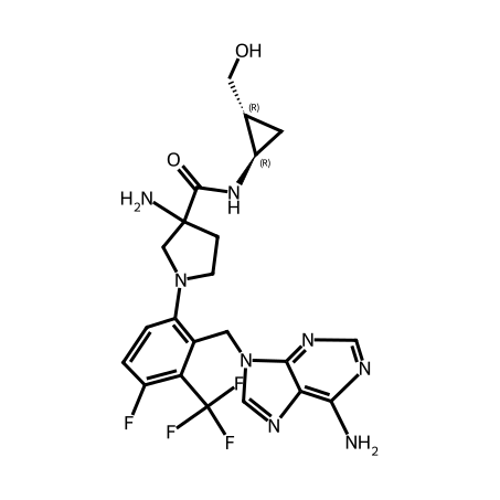 Nc1ncnc2c1ncn2Cc1c(N2CCC(N)(C(=O)N[C@@H]3C[C@H]3CO)C2)ccc(F)c1C(F)(F)F